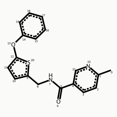 Cc1ccc(C(=O)NCc2ccc(Oc3ccccc3)s2)cn1